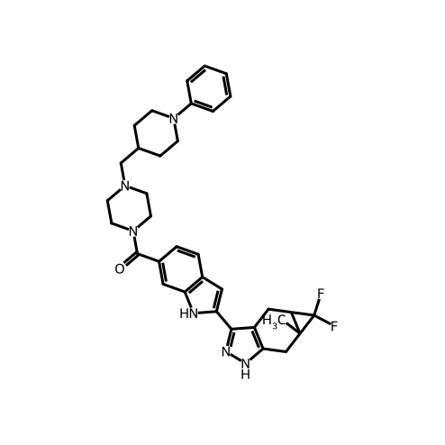 CC12Cc3[nH]nc(-c4cc5ccc(C(=O)N6CCN(CC7CCN(c8ccccc8)CC7)CC6)cc5[nH]4)c3CC1C2(F)F